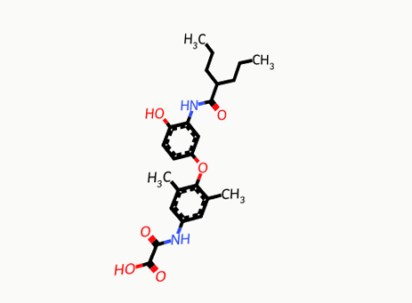 CCCC(CCC)C(=O)Nc1cc(Oc2c(C)cc(NC(=O)C(=O)O)cc2C)ccc1O